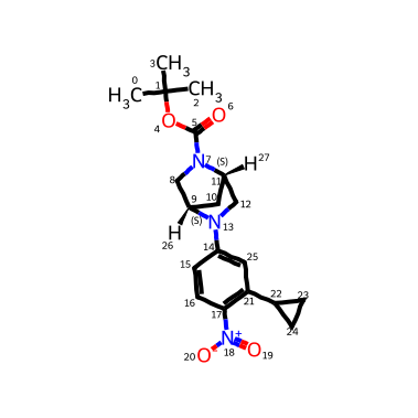 CC(C)(C)OC(=O)N1C[C@@H]2C[C@H]1CN2c1ccc([N+](=O)[O-])c(C2CC2)c1